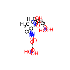 CCCc1nc(C(C)(C)O)c(C(=O)Oc2cccc(CON(O)O)c2)n1Cc1ccc(-c2ccccc2-c2nnn(COC(=O)OCCCCON(O)O)n2)cc1